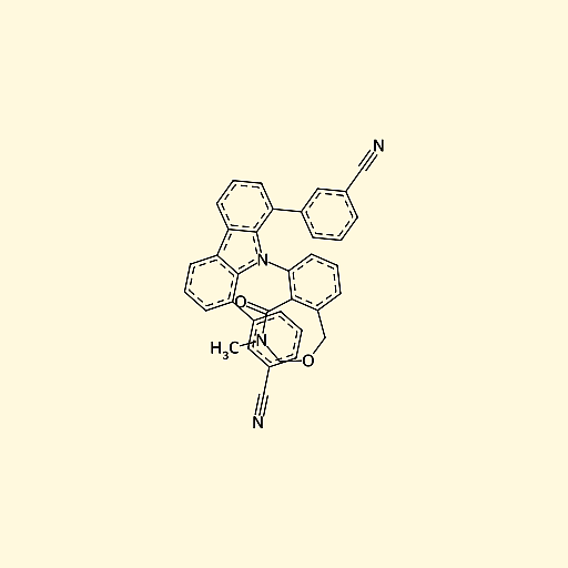 CN1COCc2cccc(-n3c4c(-c5cccc(C#N)c5)cccc4c4cccc(-c5cccc(C#N)c5)c43)c2C1=O